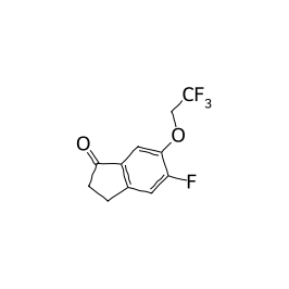 O=C1CCc2cc(F)c(OCC(F)(F)F)cc21